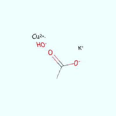 CC(=O)[O-].[Cu+2].[K+].[OH-]